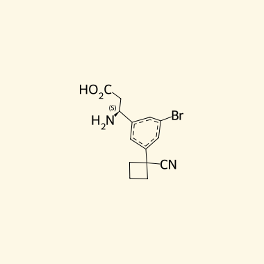 N#CC1(c2cc(Br)cc([C@@H](N)CC(=O)O)c2)CCC1